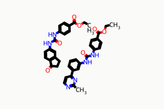 CCOC(=O)c1ccc(NC(=O)Nc2ccc3c(c2)CCC3=O)cc1.CCOC(=O)c1ccc(NC(=O)Nc2cccc(-c3ccnc(C)n3)c2)cc1